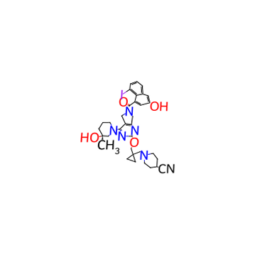 C[C@@]1(O)CCCN(c2nc(OCC3(CN4CCC(C#N)CC4)CC3)nc3c2CN(C(=O)c2cc(O)cc4cccc(I)c24)C3)C1